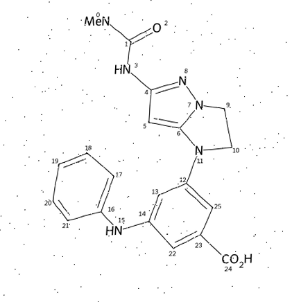 CNC(=O)Nc1cc2n(n1)CCN2c1cc(Nc2ccccc2)cc(C(=O)O)c1